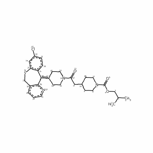 CC(C)COC(=O)N1CCC(CC(=O)N2CCC(=C3c4ccc(Cl)cc4SCc4cccnc43)CC2)CC1